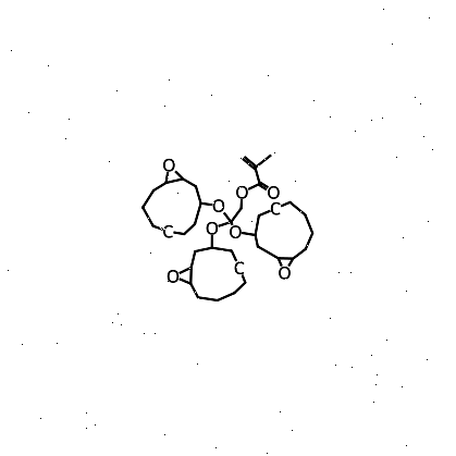 C=C(C)C(=O)OCC(OC1CCCCCCC2OC2C1)(OC1CCCCCCC2OC2C1)OC1CCCCCCC2OC2C1